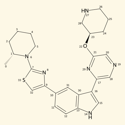 C[C@@H]1CCCCN1c1nc(-c2ccc3[nH]cc(-c4cncc(O[C@@H]5CCCNC5)n4)c3c2)cs1